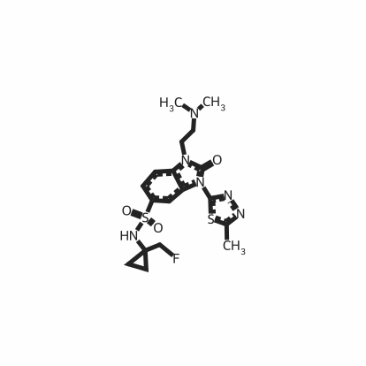 Cc1nnc(-n2c(=O)n(CCN(C)C)c3ccc(S(=O)(=O)NC4(CF)CC4)cc32)s1